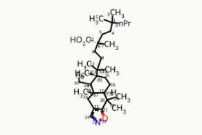 CCCC(C)(C)CC[C@@](C)(CCC(C)(C)[C@]1(C)CC[C@H]2C(C)(C)c3oncc3C[C@]2(C)[C@H]1CC(C)=O)C(=O)O